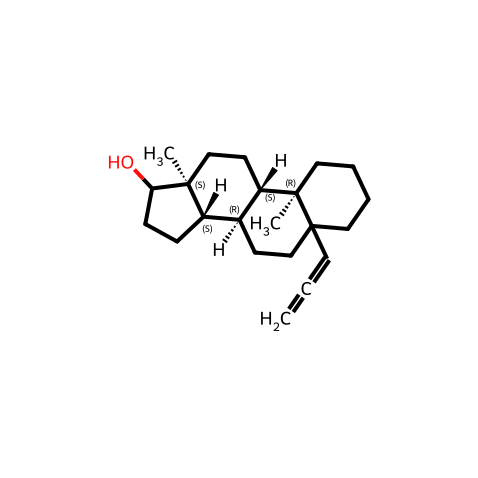 C=C=CC12CCCC[C@]1(C)[C@H]1CC[C@]3(C)C(O)CC[C@H]3[C@@H]1CC2